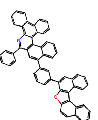 c1ccc(-c2nc3c4ccccc4c4ccccc4c3c3c2cc(-c2cccc(-c4cc5ccccc5c5c4oc4ccc6ccccc6c45)c2)c2ccccc23)cc1